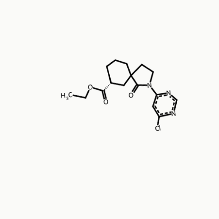 CCOC(=O)[C@@H]1CCCC2(CCN(c3cc(Cl)ncn3)C2=O)C1